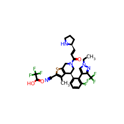 CCn1cc(-c2c(F)cccc2[C@@H]2CN(C(=O)/C=C/[C@@H]3CCCN3)Cc3sc(C#N)c(C)c32)c(C(F)(F)F)n1.O=C(O)C(F)(F)F